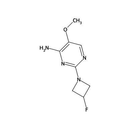 COc1cnc(N2CC(F)C2)nc1N